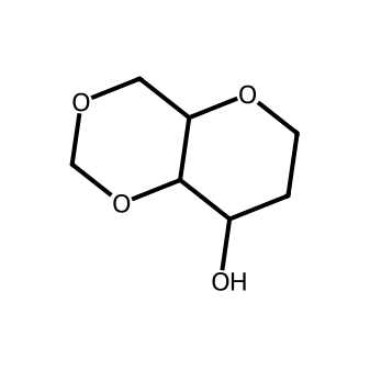 OC1CCOC2COCOC12